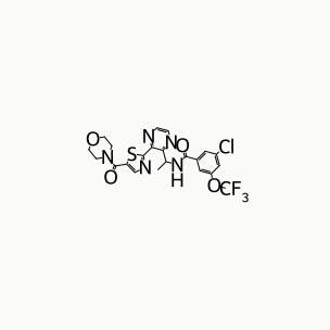 CC(NC(=O)c1cc(Cl)cc(OC(F)(F)F)c1)c1nccnc1-c1ncc(C(=O)N2CCOCC2)s1